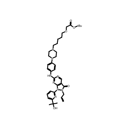 C=CCn1c(=O)c2cnc(Nc3ccc(N4CCN(CCCCCOCC(=O)OC(C)(C)C)CC4)cc3)nc2n1-c1cccc(C(C)(C)O)n1